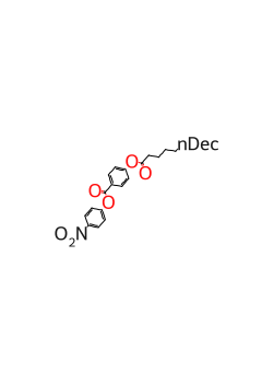 CCCCCCCCCCCCCCC(=O)Oc1ccc(C(=O)Oc2ccc([N+](=O)[O-])cc2)cc1